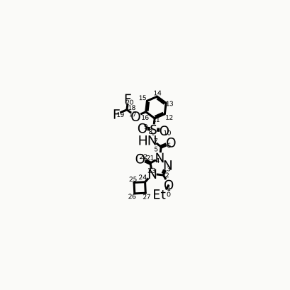 CCOc1nn(C(=O)NS(=O)(=O)c2ccccc2OC(F)F)c(=O)n1C1CCC1